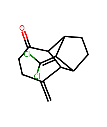 C=C1CCC(=O)C2C3CCC(C3=C(Cl)Cl)C12